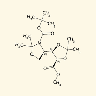 COC(=O)[C@@H]1OC(C)(C)O[C@@H]1[C@H]1COC(C)(C)N1C(=O)OC(C)(C)C